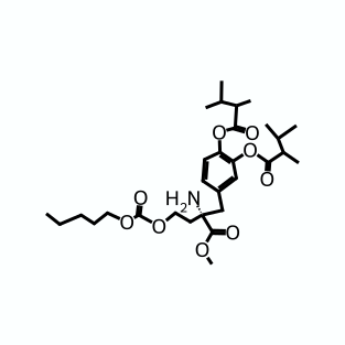 CCCCCOC(=O)OCC[C@@](N)(Cc1ccc(OC(=O)C(C)C(C)C)c(OC(=O)C(C)C(C)C)c1)C(=O)OC